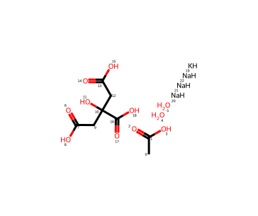 CC(=O)O.O.O.O=C(O)CC(O)(CC(=O)O)C(=O)O.[KH].[NaH].[NaH].[NaH]